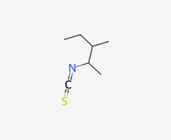 CCC(C)C(C)N=C=S